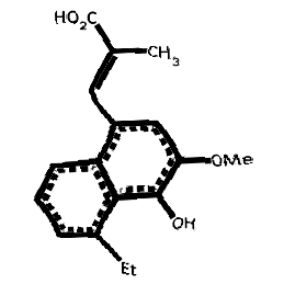 CCc1cccc2c(C=C(C)C(=O)O)cc(OC)c(O)c12